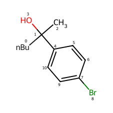 CCCCC(C)(O)c1ccc(Br)cc1